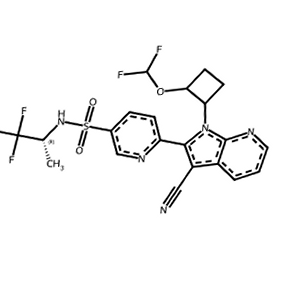 C[C@@H](NS(=O)(=O)c1ccc(-c2c(C#N)c3cccnc3n2C2CCC2OC(F)F)nc1)C(F)(F)F